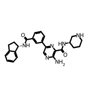 Nc1ncc(-c2cccc(C(=O)N[C@H]3CCc4ccccc43)c2)nc1C(=O)N[C@@H]1CCCNC1